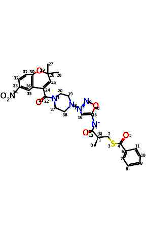 C[C@H](CSC(=O)c1ccccc1)C(=O)[N-]c1c[n+](N2CCN(C(=O)C3=CC(C)(C)Oc4ccc([N+](=O)[O-])cc43)CC2)no1